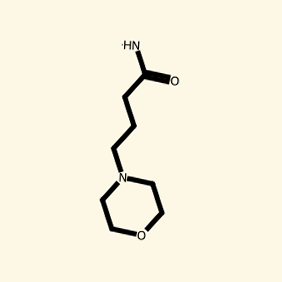 [NH]C(=O)CCCN1CCOCC1